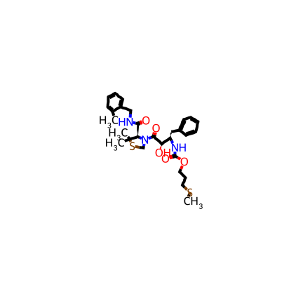 CSCCCOC(=O)N[C@@H](Cc1ccccc1)[C@H](O)C(=O)N1CSC(C)(C)[C@H]1C(=O)NCc1ccccc1C